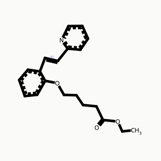 CCOC(=O)CCCCOc1ccccc1/C=C/c1ccccn1